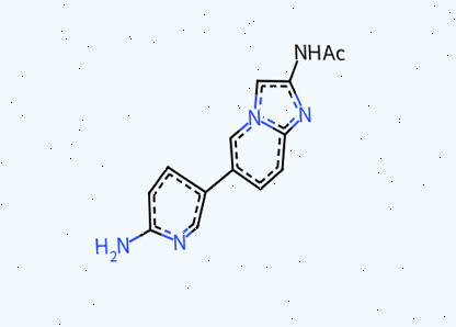 CC(=O)Nc1cn2cc(-c3ccc(N)nc3)ccc2n1